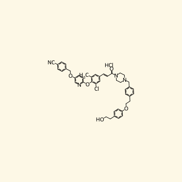 Cc1cc(C=CC(=O)N2CCN(Cc3ccc(CCOc4ccc(CCO)cc4)cc3)CC2)cc(Cl)c1Oc1ccc(OCc2ccc(C#N)cc2)cn1.Cl